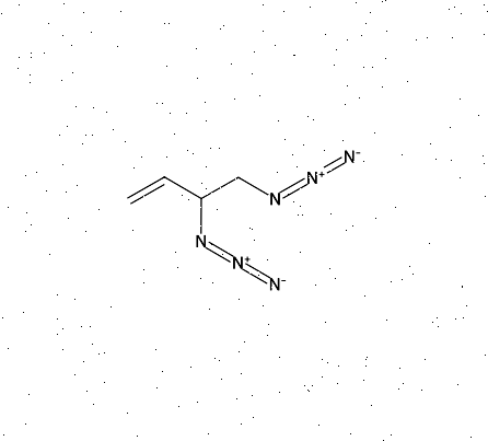 C=CC(CN=[N+]=[N-])N=[N+]=[N-]